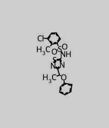 Cc1c(Cl)cccc1S(=O)(=O)Nc1nc(C(C)Oc2ccccc2)ns1